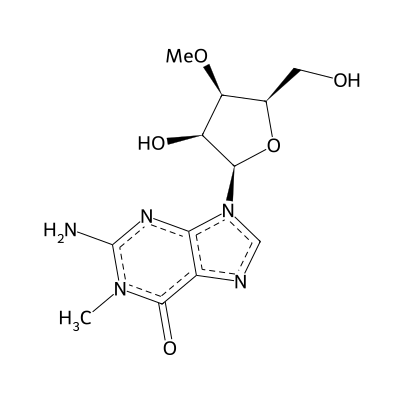 CO[C@@H]1[C@H](O)[C@H](n2cnc3c(=O)n(C)c(N)nc32)O[C@@H]1CO